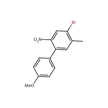 COc1ccc(-c2cc(C)c(Br)cc2[N+](=O)[O-])cc1